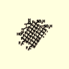 O=S(=O)(O)C(F)(F)C(F)(F)C(F)(F)C(F)(F)C(F)(F)C(F)(F)C(F)(F)C(F)(F)F.O=S(=O)(O)C(F)(F)C(F)(F)C(F)(F)C(F)(F)C(F)(F)C(F)(F)C(F)(F)C(F)(F)F.OCCCCO